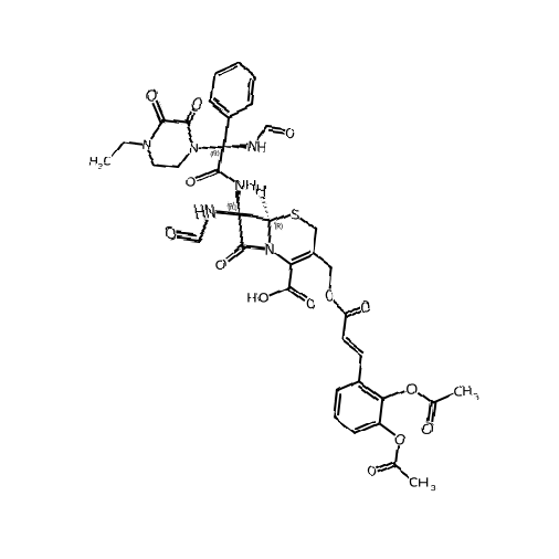 CCN1CCN([C@@](NC=O)(C(=O)N[C@]2(NC=O)C(=O)N3C(C(=O)O)=C(COC(=O)C=Cc4cccc(OC(C)=O)c4OC(C)=O)CS[C@@H]32)c2ccccc2)C(=O)C1=O